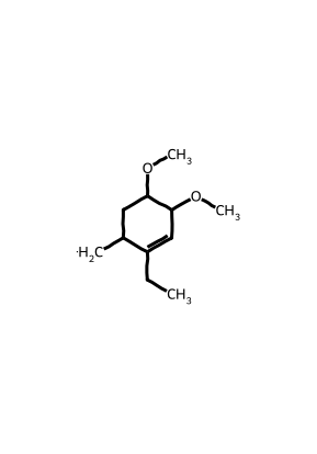 [CH2]C1CC(OC)C(OC)C=C1CC